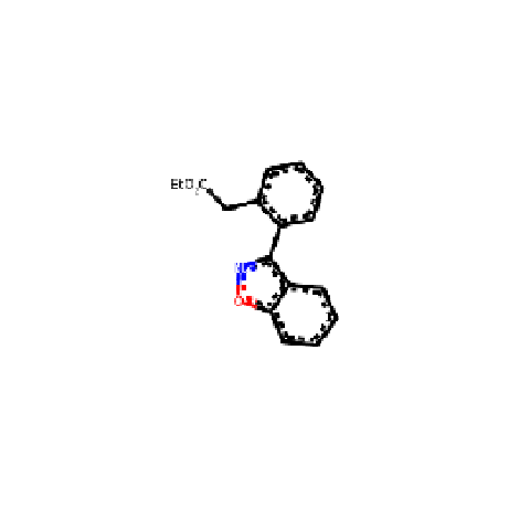 CCOC(=O)Cc1ccccc1-c1noc2ccccc12